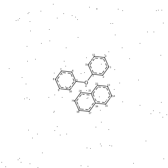 c1ccc(Oc2ccccc2)cc1.c1ccc2ccccc2c1